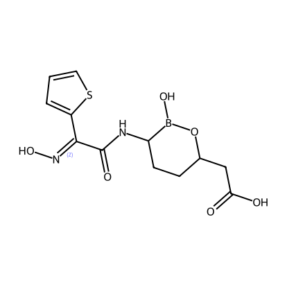 O=C(O)CC1CCC(NC(=O)/C(=N/O)c2cccs2)B(O)O1